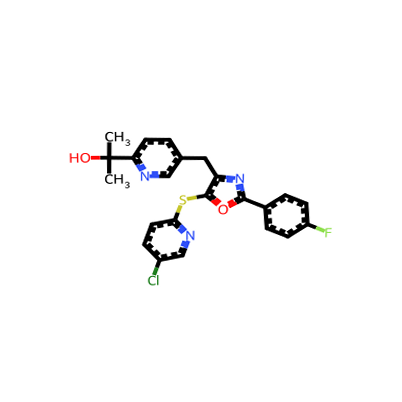 CC(C)(O)c1ccc(Cc2nc(-c3ccc(F)cc3)oc2Sc2ccc(Cl)cn2)cn1